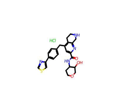 Cl.O=C(NC1CCOCC1O)c1cc(Cc2ccc(-c3cscn3)cc2)c2c(n1)CNCC2